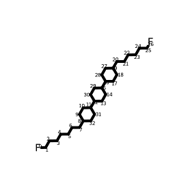 FCCCCCCCC1CCC(C2CCC(C3CCC(CCCCCCF)CC3)CC2)CC1